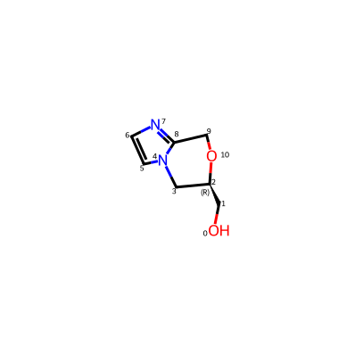 OC[C@H]1Cn2ccnc2CO1